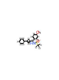 COc1ccc(C(N[S+]([O-])C(C)(C)C)C23CC(c4ccccc4)(C2)C3)cc1